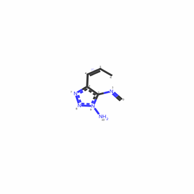 C=Nc1c(/C=C\C)nnn1N